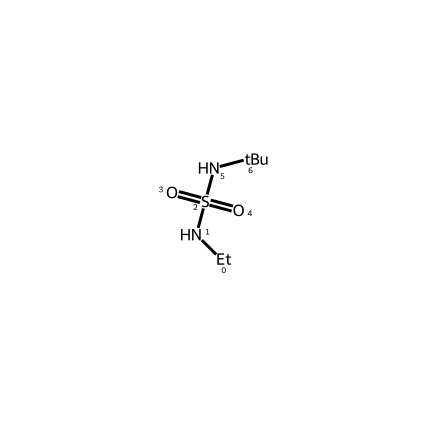 CCNS(=O)(=O)NC(C)(C)C